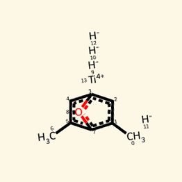 Cc1cc2cc(C)c1o2.[H-].[H-].[H-].[H-].[Ti+4]